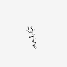 O=POCCC(=O)Oc1ccccc1